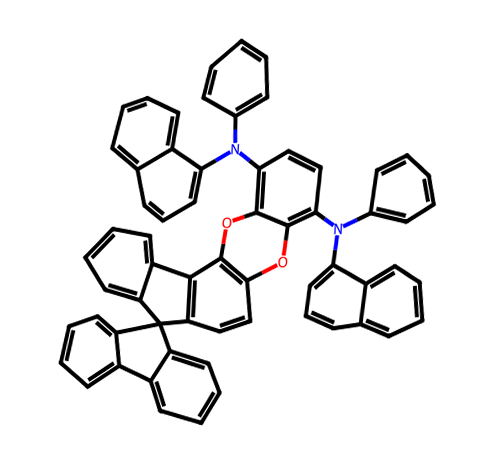 c1ccc(N(c2ccc(N(c3ccccc3)c3cccc4ccccc34)c3c2Oc2ccc4c(c2O3)-c2ccccc2C42c3ccccc3-c3ccccc32)c2cccc3ccccc23)cc1